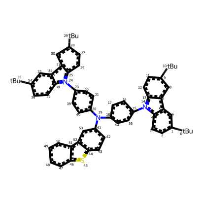 CC(C)(C)c1ccc2c(c1)c1cc(C(C)(C)C)ccc1n2-c1ccc(N(c2ccc(-n3c4ccc(C(C)(C)C)cc4c4cc(C(C)(C)C)ccc43)cc2)c2ccc3sc4ccccc4c3c2)cc1